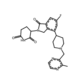 Cc1nccnc1CN1CCC(c2cc(F)cc3c2CN(C2CCC(=O)NC2=O)C3=O)CC1